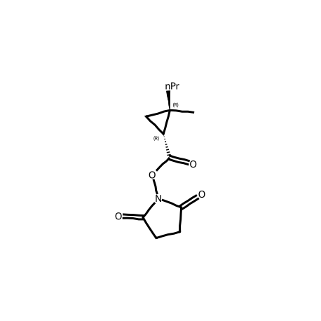 CCC[C@]1(C)C[C@H]1C(=O)ON1C(=O)CCC1=O